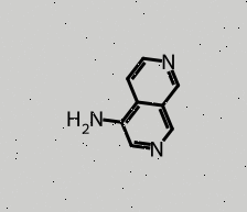 Nc1cncc2cnccc12